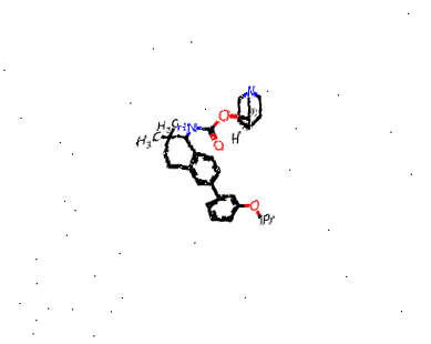 CC(C)Oc1cccc(-c2ccc3c(c2)CCC(C)(C)C3NC(=O)O[C@H]2CN3CCC2CC3)c1